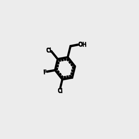 OCc1ccc(Cl)c(F)c1Cl